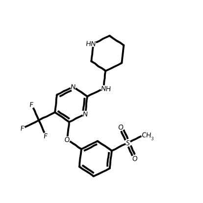 CS(=O)(=O)c1cccc(Oc2nc(NC3CCCNC3)ncc2C(F)(F)F)c1